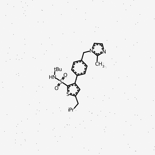 Cc1nccn1Cc1ccc(-c2cc(CC(C)C)sc2S(=O)(=O)NC(C)(C)C)cc1